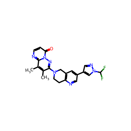 Cc1c(N2CCc3ncc(-c4cnn(C(F)F)c4)cc3C2)nn2c(=O)ccnc2c1C